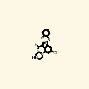 Fc1ccccc1Sn1cc(C(F)F)c2c(N3CCNCC3)cc(Cl)cc21